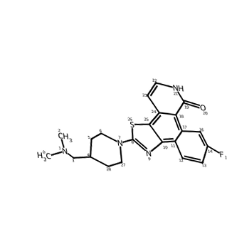 CN(C)CC1CCN(c2nc3c4ccc(F)cc4c4c(=O)[nH]ccc4c3s2)CC1